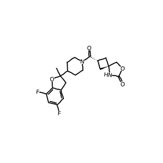 CC1(C2CCN(C(=O)[C@H]3C[C@]4(COC(=O)N4)C3)CC2)Cc2cc(F)cc(F)c2O1